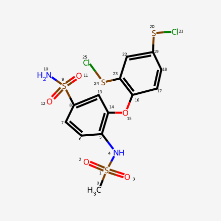 CS(=O)(=O)Nc1ccc(S(N)(=O)=O)cc1Oc1ccc(SCl)cc1SCl